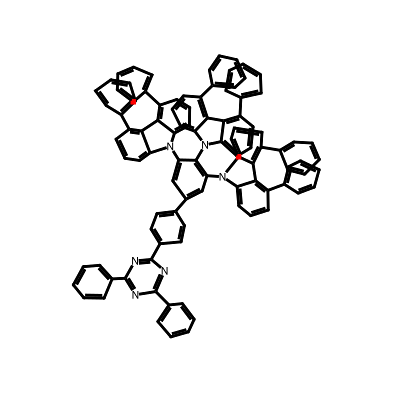 c1ccc(-c2nc(-c3ccccc3)nc(-c3ccc(-c4cc(-n5c6cccc(-c7ccccc7)c6c6c(-c7ccccc7)cccc65)c(-n5c6cccc(-c7ccccc7)c6c6c(-c7ccccc7)cccc65)c(-n5c6cccc(-c7ccccc7)c6c6c(-c7ccccc7)cccc65)c4)cc3)n2)cc1